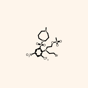 CN1CCCN(S(=O)(=O)c2cc([N+](=O)[O-])cc(C(F)(F)F)c2N(CCBr)CCOS(C)(=O)=O)CCC1